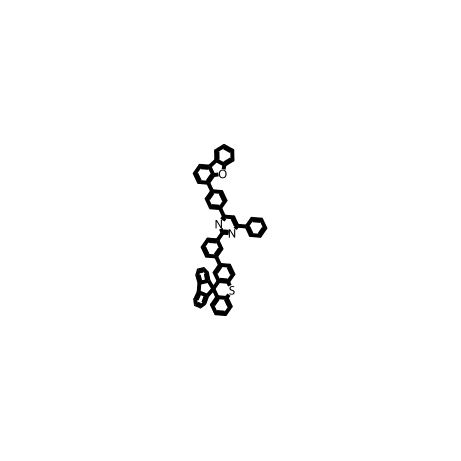 c1ccc(-c2cc(-c3ccc(-c4cccc5c4oc4ccccc45)cc3)nc(-c3cccc(-c4ccc5c(c4)C4(c6ccccc6S5)c5ccccc5-c5ccccc54)c3)n2)cc1